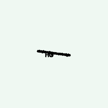 CCCCCCCCCCCCCCCCCC(CO)CCCCCCCCCCCCCCC